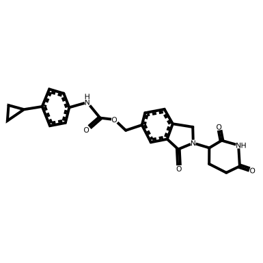 O=C1CCC(N2Cc3ccc(COC(=O)Nc4ccc(C5CC5)cc4)cc3C2=O)C(=O)N1